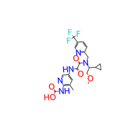 COCC(C1CC1)N(Cc1ccc(C(F)(F)F)cn1)C(=O)C(=O)Nc1cnc(NC(=O)O)c(C)c1